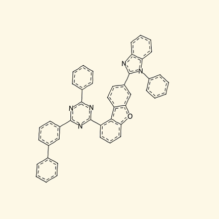 c1ccc(-c2cccc(-c3nc(-c4ccccc4)nc(-c4cccc5oc6cc(-c7nc8ccccc8n7-c7ccccc7)ccc6c45)n3)c2)cc1